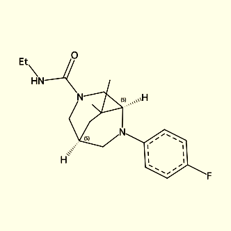 CCNC(=O)N1C[C@@H]2CN(c3ccc(F)cc3)[C@H](C1)C(C)(C)C2